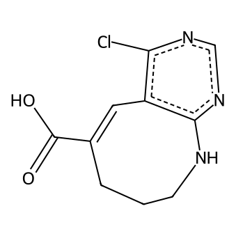 O=C(O)C1=Cc2c(Cl)ncnc2NCCC1